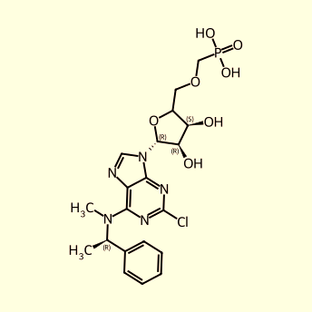 C[C@H](c1ccccc1)N(C)c1nc(Cl)nc2c1ncn2[C@@H]1OC(COCP(=O)(O)O)[C@@H](O)[C@H]1O